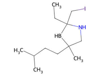 CCC1(CI)BC(C)(CCC(C)C)CN1